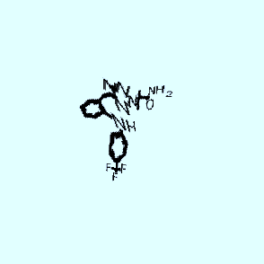 CC(C)(C(N)=O)n1nnc(-c2ccccc2Nc2ccc(C(F)(F)F)cc2)n1